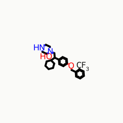 OC1(C(CN2CCNCC2)c2ccc(OCc3ccccc3C(F)(F)F)cc2)CCCCC1